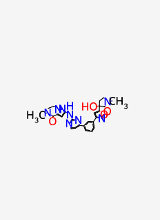 CN1CCn2nc(Nc3nccc(-c4cccc(-c5cc(C6(O)CCN(C)C6=O)on5)c4)n3)cc2C1=O